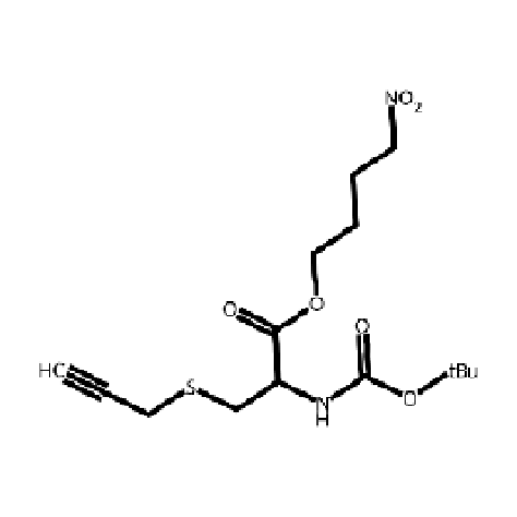 C#CCSCC(NC(=O)OC(C)(C)C)C(=O)OCCCC[N+](=O)[O-]